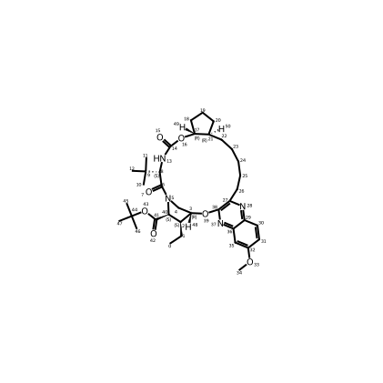 CC[C@@H]1[C@@H]2CN(C(=O)[C@H](C(C)(C)C)NC(=O)O[C@@H]3CCC[C@H]3CCCCCc3nc4ccc(OC)cc4nc3O2)[C@@H]1C(=O)OC(C)(C)C